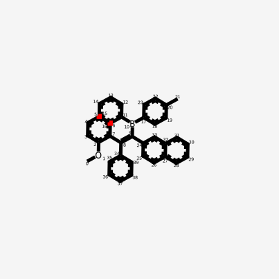 COc1ccccc1/C(=C(\B(c1ccccc1)c1ccc(C)cc1)c1ccc2ccccc2c1)c1ccccc1